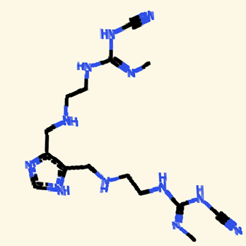 CN=C(NC#N)NCCNCc1nc[nH]c1CNCCNC(=NC)NC#N